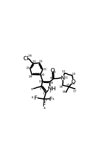 Cc1c(C(F)(F)F)[nH]c(C(=O)N2CCOC(C)(C)C2)c1-c1ccc(Cl)cc1